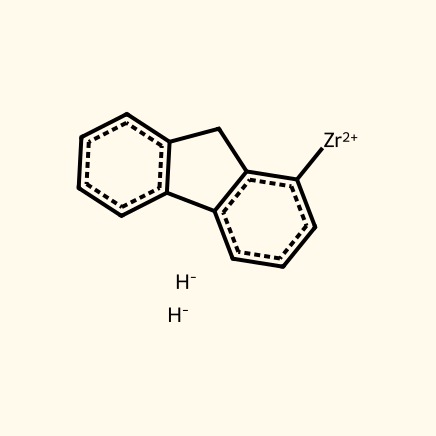 [H-].[H-].[Zr+2][c]1cccc2c1Cc1ccccc1-2